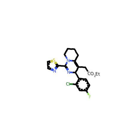 CCOC(=O)CC1=C2CCCCN2C(c2nccs2)=NC1c1ccc(F)cc1Cl